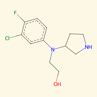 OCCN(c1ccc(F)c(Cl)c1)C1CCNC1